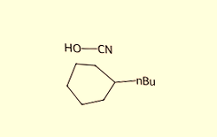 CCCCC1CCCCC1.N#CO